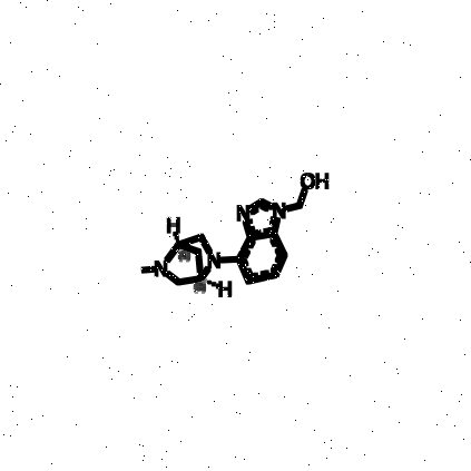 CN1C[C@H]2C[C@@H]1CN2c1cccc2c1ncn2CO